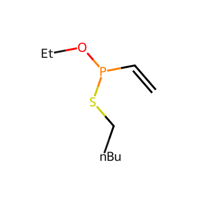 C=CP(OCC)SCCCCC